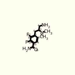 CN(C)C(CN)Cc1ccc(C(N)=O)c(F)c1F